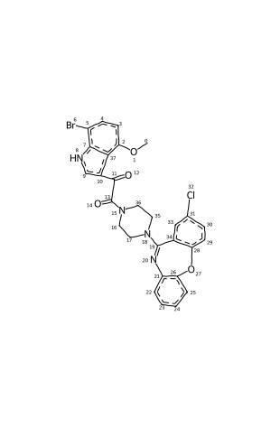 COc1ccc(Br)c2[nH]cc(C(=O)C(=O)N3CCN(C4=Nc5ccccc5Oc5ccc(Cl)cc54)CC3)c12